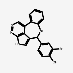 Oc1ccc(C2Nc3ccccc3-c3cnnc4[nH]cc2c34)cc1Br